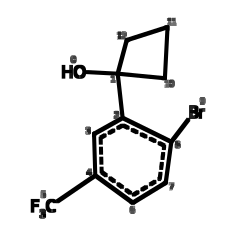 OC1(c2cc(C(F)(F)F)ccc2Br)CCC1